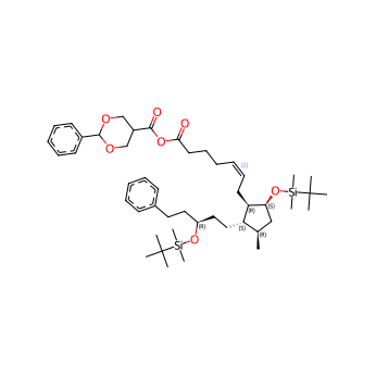 C[C@@H]1C[C@H](O[Si](C)(C)C(C)(C)C)[C@H](C/C=C\CCCC(=O)OC(=O)C2COC(c3ccccc3)OC2)[C@H]1CC[C@H](CCc1ccccc1)O[Si](C)(C)C(C)(C)C